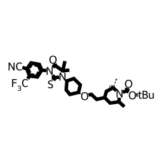 CC1CC(CCO[C@H]2CC[C@H](N3C(=S)N(c4ccc(C#N)c(C(F)(F)F)c4)C(=O)C3(C)C)CC2)C[C@H](C)N1C(=O)OC(C)(C)C